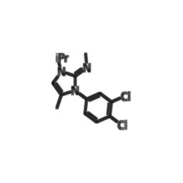 CN=c1n(C(C)C)cc(C)n1-c1ccc(Cl)c(Cl)c1